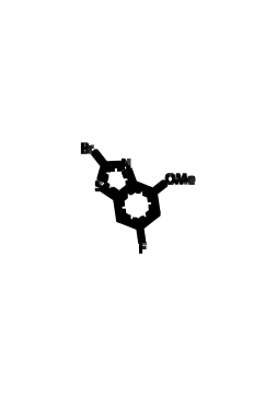 COc1cc(F)cc2sc(Br)nc12